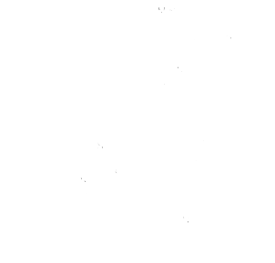 CSc1cc(C)[nH]c(=O)c1CNC(=O)c1cc(-c2cnc(N3CC(C)OC(C)C3)nc2)c2c(c1C)OC(C)(C1CCN(CC(F)(F)F)CC1)O2